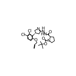 C=CCOc1ccc(Cl)c(Cl)c1[C@H]1CN=C(NNC(=O)C2CCCN2C(=O)OC(C)(C)C)C1